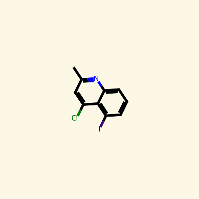 Cc1cc(Cl)c2c(I)cccc2n1